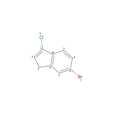 ClC1=CCc2cc(Br)ccc21